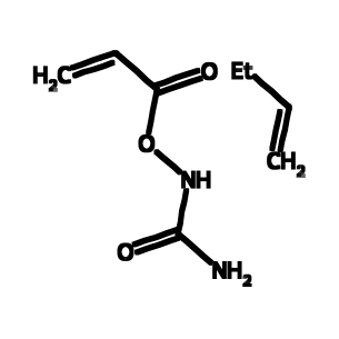 C=CC(=O)ONC(N)=O.C=CCC